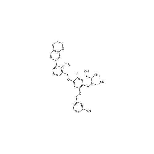 Cc1c(COc2cc(OCc3cccc(C#N)c3)c(CN(CC#N)C(C)CO)cc2Cl)cccc1-c1ccc2c(c1)OCCO2